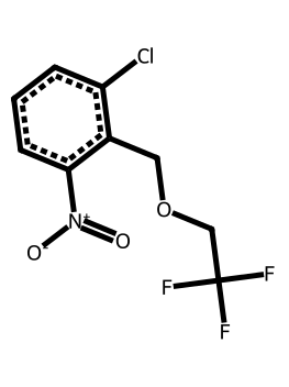 O=[N+]([O-])c1cccc(Cl)c1COCC(F)(F)F